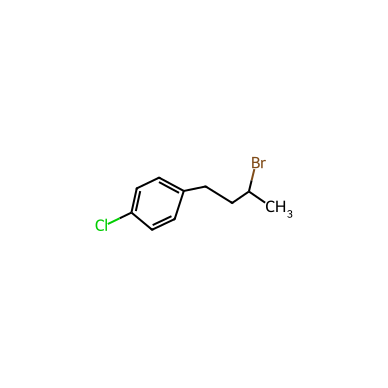 CC(Br)CCc1ccc(Cl)cc1